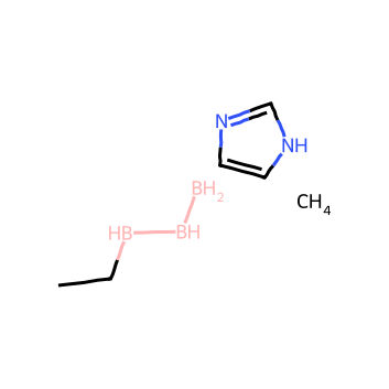 BBBCC.C.c1c[nH]cn1